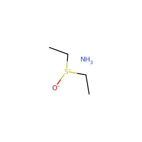 CC[S+]([O-])CC.N